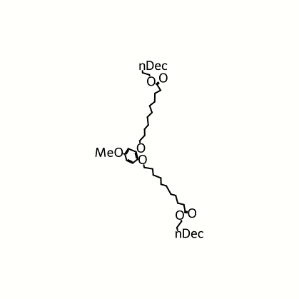 CCCCCCCCCCCCOC(=O)CCCCCCCCCCOc1ccc(OC)cc1OCCCCCCCCCCC(=O)OCCCCCCCCCCCC